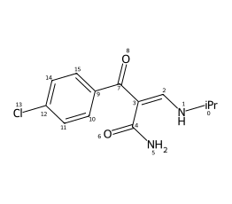 CC(C)NC=C(C(N)=O)C(=O)c1ccc(Cl)cc1